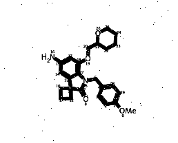 COc1ccc(CN2C(=O)C3(CCC3)c3cc(N)cc(OCC4CCCCO4)c32)cc1